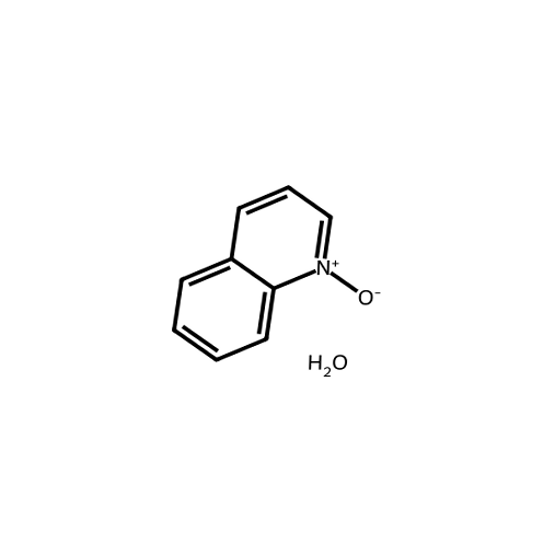 O.[O-][n+]1cccc2ccccc21